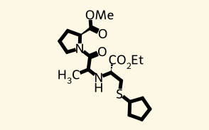 CCOC(=O)[C@H](CSC1CCCC1)NC(C)C(=O)N1CCC[C@H]1C(=O)OC